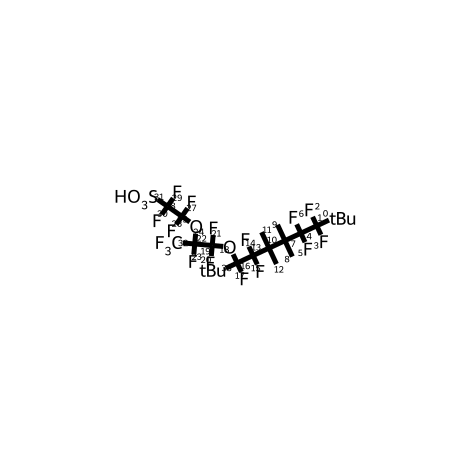 CC(C)(C)C(F)(F)C(F)(F)C(C)(C)C(C)(C)C(F)(F)C(F)(OC(F)(F)C(F)(OC(F)(F)C(F)(F)S(=O)(=O)O)C(F)(F)F)C(C)(C)C